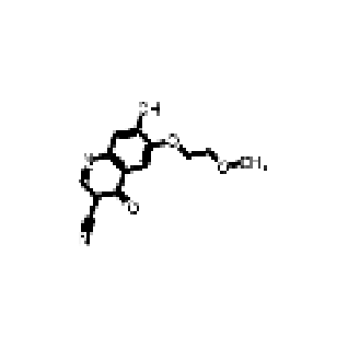 COCCOc1cc2c(cc1O)N=CC(C#N)C2=O